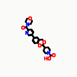 O=C(O)N1CCC(C2OCc3cc(-c4ccc(C(=O)N5CCOCC5)nc4)ccc3O2)CC1